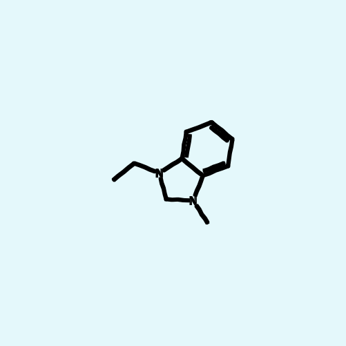 CCN1CN(C)c2ccccc21